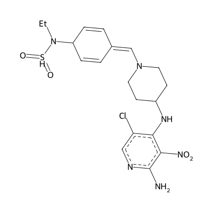 CCN(C1C=CC(=CN2CCC(Nc3c(Cl)cnc(N)c3[N+](=O)[O-])CC2)C=C1)[SH](=O)=O